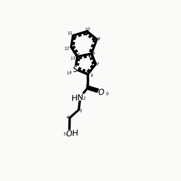 O=C(NCCO)c1cc2ccccc2s1